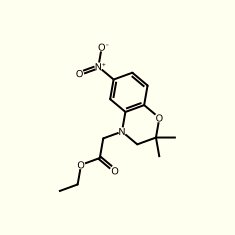 CCOC(=O)CN1CC(C)(C)Oc2ccc([N+](=O)[O-])cc21